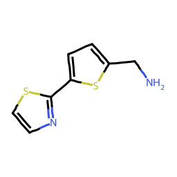 NCc1ccc(-c2nccs2)s1